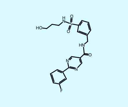 O=C(NCc1cccc(S(=O)(=O)NCCCO)c1)c1cnc(-c2cccc(F)c2)nc1